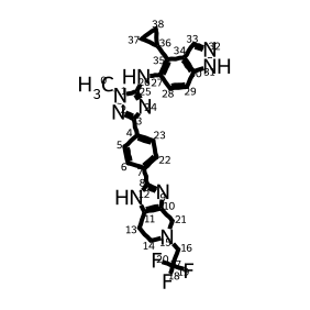 Cn1nc(-c2ccc(-c3nc4c([nH]3)CCN(CC(F)(F)F)C4)cc2)nc1Nc1ccc2[nH]ncc2c1C1CC1